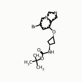 CC(C)(C)OC(=O)N[C@H]1C[C@H](Oc2cc(Br)cn3cncc23)C1